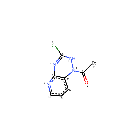 CCC(=O)N1NC(Cl)=Nc2ncccc21